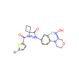 O=C(NC1(C(=O)Nc2ccc(N3CCOCC3=NO)c(Cl)c2)CCC1)c1ccc(Br)s1